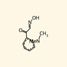 CNC.O=C(C=NO)c1ccccc1